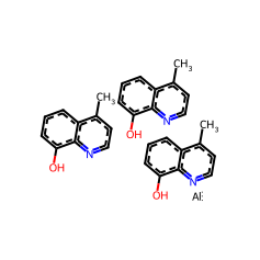 Cc1ccnc2c(O)cccc12.Cc1ccnc2c(O)cccc12.Cc1ccnc2c(O)cccc12.[Al]